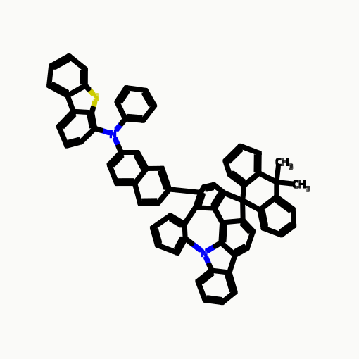 CC1(C)c2ccccc2C2(c3ccccc31)c1ccc(-c3ccc4ccc(N(c5ccccc5)c5cccc6c5sc5ccccc56)cc4c3)c3c1-c1c2ccc2c4ccccc4n(c12)-c1ccccc1-3